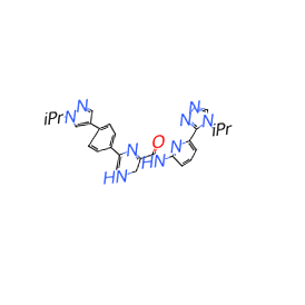 CC(C)n1cc(-c2ccc(C3=CNCC(C(=O)Nc4cccc(-c5nncn5C(C)C)n4)=N3)cc2)cn1